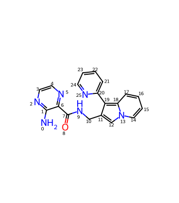 Nc1nccnc1C(=O)NCc1cn2ccccc2c1-c1ccccn1